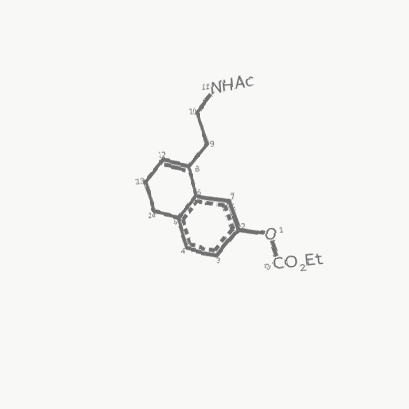 CCOC(=O)Oc1ccc2c(c1)C(CCNC(C)=O)=CCC2